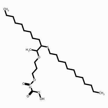 CCCCCCCCCCCCSC(CCCCCCCCC)C(C)OCCCO[PH](=O)C(=O)OO